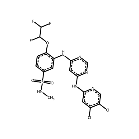 CNS(=O)(=O)c1ccc(OC(F)C(F)F)c(Nc2cc(Nc3cc(Cl)c(Cl)cn3)ncn2)c1